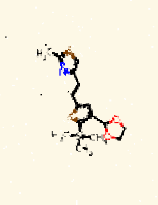 Cc1nc(C=Cc2cc(C3OCCO3)c([Si](C)(C)C)s2)cs1